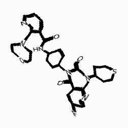 O=C(NC1CCC(n2c(=O)c3cc(F)cnc3n(C3CCSCC3)c2=O)CC1)c1cccnc1N1CCOCC1